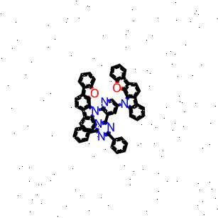 c1ccc(-c2nc(-c3ccccc3)nc(-c3cc(-n4c5ccccc5c5ccc6c7ccccc7oc6c54)cnc3-n3c4ccccc4c4ccc5c6ccccc6oc5c43)n2)cc1